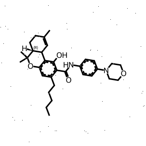 CCCCCc1cc2c(c(O)c1C(=O)Nc1ccc(N3CCOCC3)cc1)C1C=C(C)CC[C@H]1C(C)(C)O2